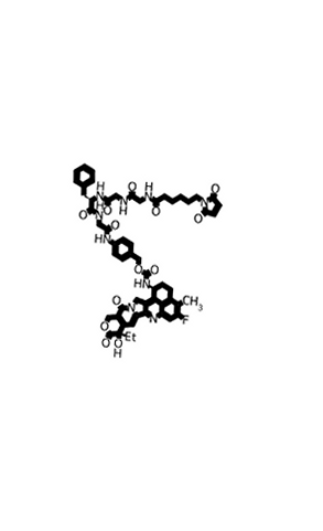 CC[C@@]1(O)C(=O)OCc2c1cc1n(c2=O)Cc2c-1nc1cc(F)c(C)c3c1c2[C@@H](NC(=O)OCc1ccc(NC(=O)CNC(=O)[C@H](Cc2ccccc2)NC(=O)CNC(=O)CNC(=O)CCCCCN2C(=O)C=CC2=O)cc1)CC3